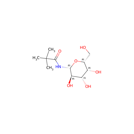 CC(C)(C)C(=O)N[C@@H]1O[C@H](CO)[C@H](O)[C@H](O)[C@H]1O